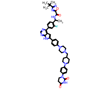 CC(NC(=O)c1nc(C(C)(C)C)no1)c1ccc(-c2ncnc3[nH]c(-c4ccc(N5CCN(CC6CCN(c7ccc(N8CCC(=O)NC8=O)cc7)CC6)CC5)cc4)cc23)cc1F